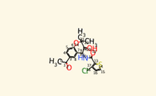 CC(=O)c1ccc2c(c1)[C@@H](NC(=O)c1sccc1Cl)[C@H](O)C(C)(C)O2